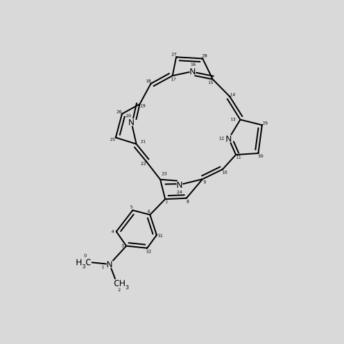 CN(C)c1ccc(C2=CC3=CC4=NC(=CC5=NC(=CC6=NC(=CC2=N3)C=C6)C=C5)C=C4)cc1